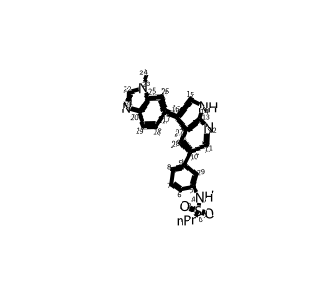 CCCS(=O)(=O)Nc1cccc(-c2cnc3[nH]cc(-c4ccc5ncn(C)c5c4)c3c2)c1